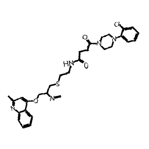 C=NC(COc1cc(C)nc2ccccc12)CSCCNC(=O)CCC(=O)N1CCN(c2ccccc2Cl)CC1